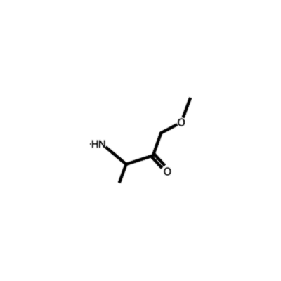 COCC(=O)C(C)[NH]